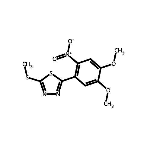 COc1cc(-c2nnc(SC)s2)c([N+](=O)[O-])cc1OC